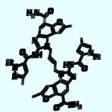 CCn1cc(C)cc1C(=O)Nc1nc2cc(C(N)=O)c3oc(C)cc3c2n1C/C=C/Cn1c(NC(=O)c2cc(C)nn2CC)nc2cc(C(N)=O)c3oc(C)cc3c21